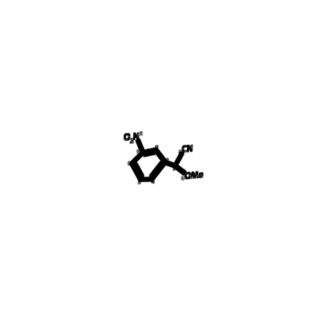 COC(C#N)c1cccc([N+](=O)[O-])c1